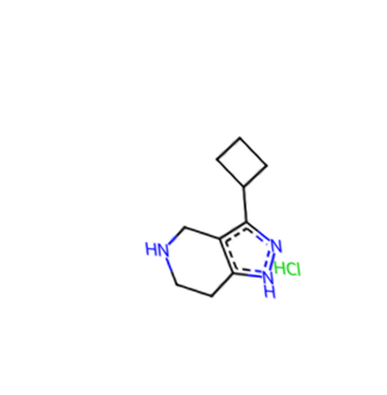 C1CC(c2n[nH]c3c2CNCC3)C1.Cl